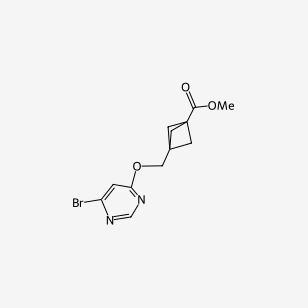 COC(=O)C12CC(COc3cc(Br)ncn3)(C1)C2